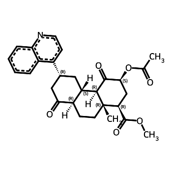 COC(=O)[C@@H]1C[C@H](OC(C)=O)C(=O)[C@@H]2[C@H]3C[C@@H](c4ccnc5ccccc45)CC(=O)[C@@H]3CC[C@]21C